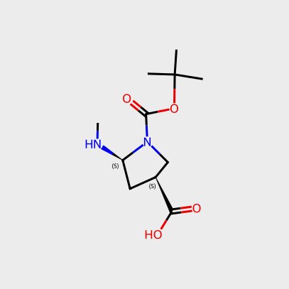 CN[C@@H]1C[C@H](C(=O)O)CN1C(=O)OC(C)(C)C